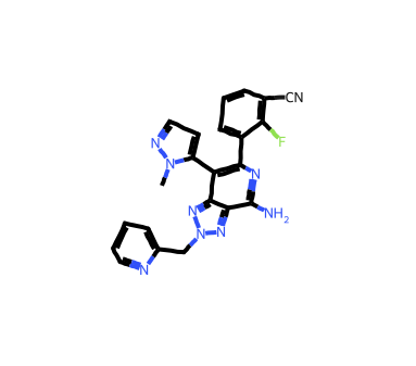 Cn1nccc1-c1c(-c2cccc(C#N)c2F)nc(N)c2nn(Cc3ccccn3)nc12